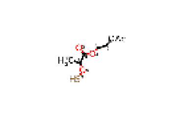 CC(=O)OCCOC(=O)C(C)OS